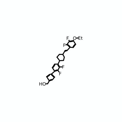 CCOc1ccc(/C=C/C2CCC(c3ccc(-c4ccc(CO)cc4)c(F)c3F)CC2)c(F)c1F